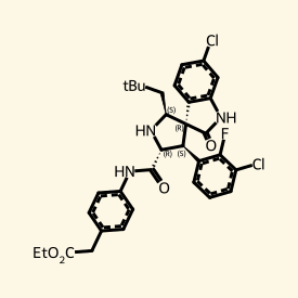 CCOC(=O)Cc1ccc(NC(=O)[C@@H]2N[C@@H](CC(C)(C)C)[C@@]3(C(=O)Nc4cc(Cl)ccc43)[C@H]2c2cccc(Cl)c2F)cc1